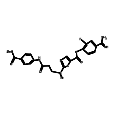 CCN(CCC(=O)Nc1ccc(C(=O)OC)cc1)c1ncc(C(=O)Oc2ccc(C(=N)N)cc2F)s1